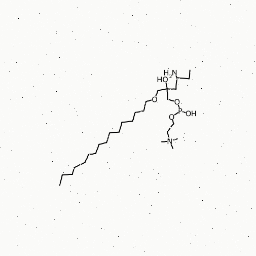 CCCCCCCCCCCCCCCCOCC(O)(COP(O)OCC[N+](C)(C)C)CC(N)CC